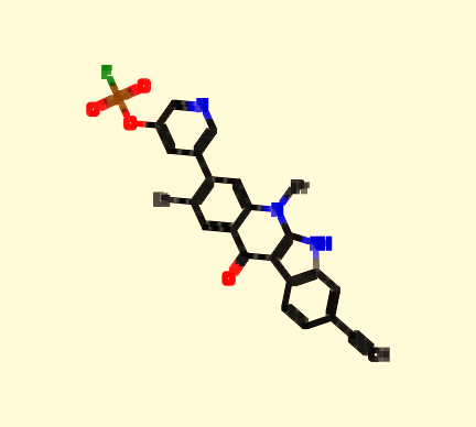 C#Cc1ccc2c(c1)[nH]c1c2c(=O)c2cc(CC)c(-c3cncc(OS(=O)(=O)F)c3)cc2n1C(C)C